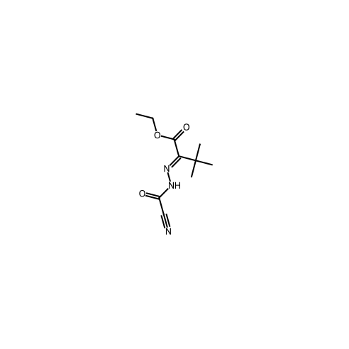 CCOC(=O)C(=NNC(=O)C#N)C(C)(C)C